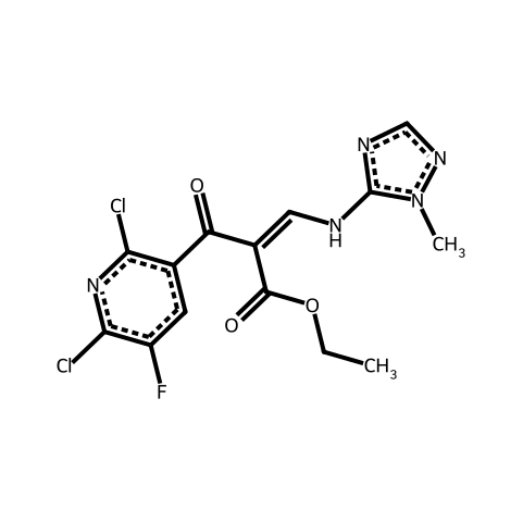 CCOC(=O)/C(=C\Nc1ncnn1C)C(=O)c1cc(F)c(Cl)nc1Cl